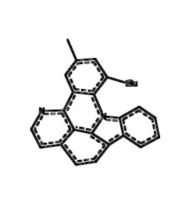 Cc1cc(C(C)(C)C)c2c(c1)c1nccc3ccc4c5ccccc5n2c4c31